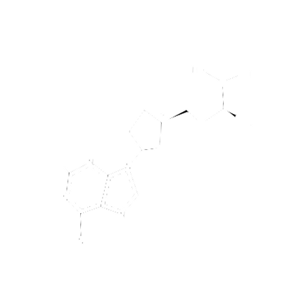 CCOC(=O)[C@@H](OC[C@@H]1CCC(n2cnc3c(N)nc(C(F)(F)F)nc32)O1)P(O)O